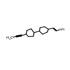 CC#CC1CCC(C2CCC(/C=C/CCC)CC2)CC1